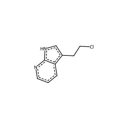 ClCCc1c[nH]c2ncccc12